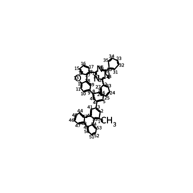 Cc1cc(-c2cccc(-c3ccc4oc5cccc(-c6nc(-c7ccccc7)nc(-c7ccccc7)n6)c5c4c3)c2)cc2c3ccccc3c3ccccc3c12